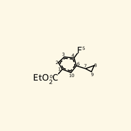 CCOC(=O)c1ccc(F)c(C2CC2)c1